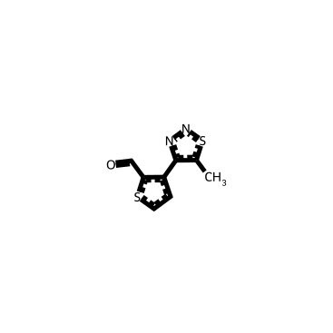 Cc1snnc1-c1ccsc1C=O